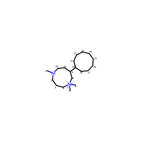 CN1CCC[N+](C)(C)CC(C2CCCCCCCC2)CC1